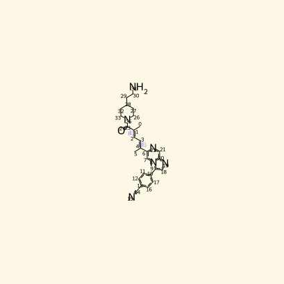 C/C(=C\C=C(/C)c1cn2c(-c3ccc(C#N)cc3)cnc2cn1)C(=O)N1CCC(CCN)CC1